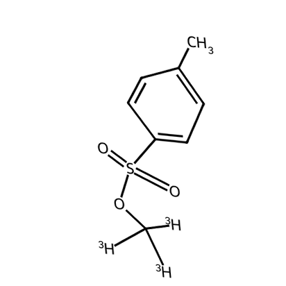 [3H]C([3H])([3H])OS(=O)(=O)c1ccc(C)cc1